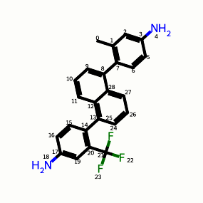 Cc1cc(N)ccc1-c1cccc2c(-c3ccc(N)cc3C(F)(F)F)cccc12